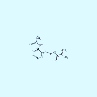 C=C(C)C(=O)OCCc1ccccc1OC(N)=O